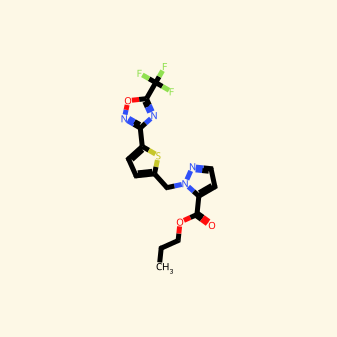 CCCOC(=O)c1ccnn1Cc1ccc(-c2noc(C(F)(F)F)n2)s1